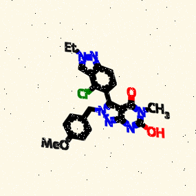 CCn1cc2c(Cl)c(-c3c4c(=O)n(C)c(O)nc4nn3Cc3ccc(OC)cc3)ccc2n1